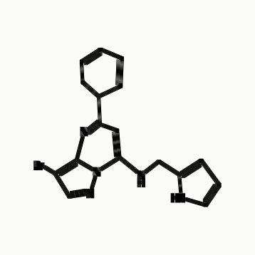 Brc1cnn2c(NCc3ccc[nH]3)cc(C3C=CC=CC3)nc12